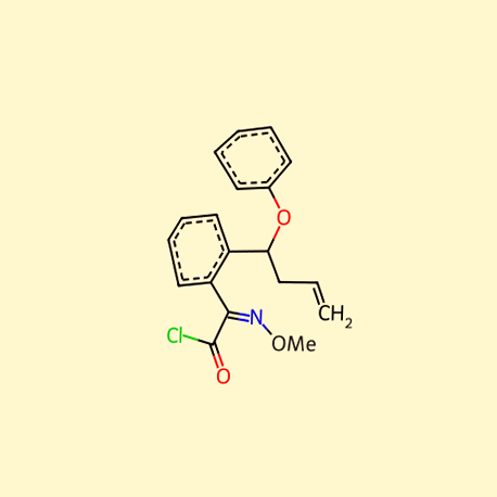 C=CCC(Oc1ccccc1)c1ccccc1C(=NOC)C(=O)Cl